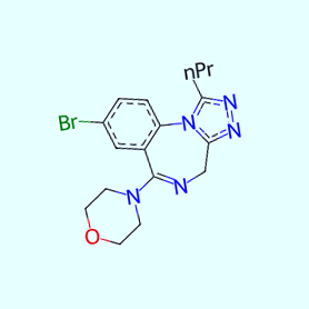 CCCc1nnc2n1-c1ccc(Br)cc1C(N1CCOCC1)=NC2